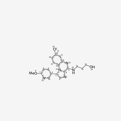 COc1ccc(-c2cnc3c(NCCCO)nc4cc(C(F)(F)F)ccc4n23)cn1